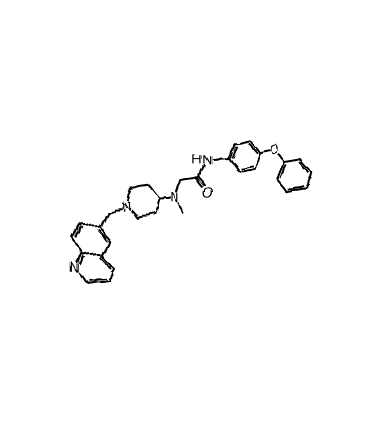 CN(CC(=O)Nc1ccc(Oc2ccccc2)cc1)C1CCN(Cc2ccc3ncccc3c2)CC1